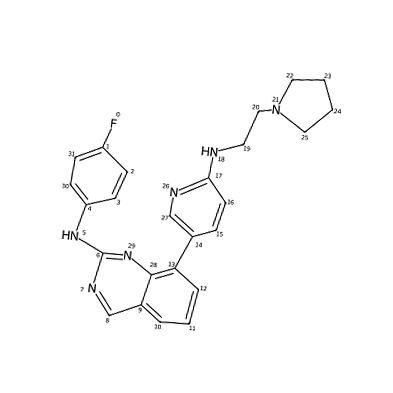 Fc1ccc(Nc2ncc3cccc(-c4ccc(NCCN5CCCC5)nc4)c3n2)cc1